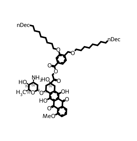 CCCCCCCCCCCCCCCCCCOCc1ccc(C(=O)OCC(=O)[C@]2(O)Cc3c(O)c4c(c(O)c3[C@@H](O[C@H]3C[C@H](N)[C@H](O)[C@H](C)O3)C2)C(=O)c2c(OC)cccc2C4=O)cc1OCCCCCCCCCCCCCCCCCC